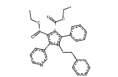 CCOC(=O)c1c(C(=O)OCC)c(-c2cccnc2)n(CCc2ccccc2)c1-c1ccccc1